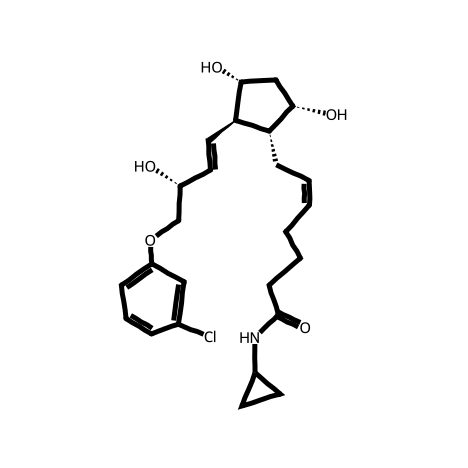 O=C(CCC/C=C\C[C@@H]1[C@@H](/C=C/[C@@H](O)COc2cccc(Cl)c2)[C@H](O)C[C@@H]1O)NC1CC1